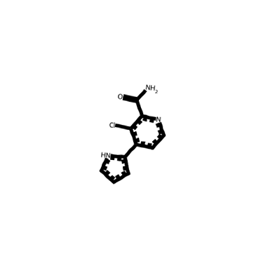 NC(=O)c1nccc(-c2ccc[nH]2)c1Cl